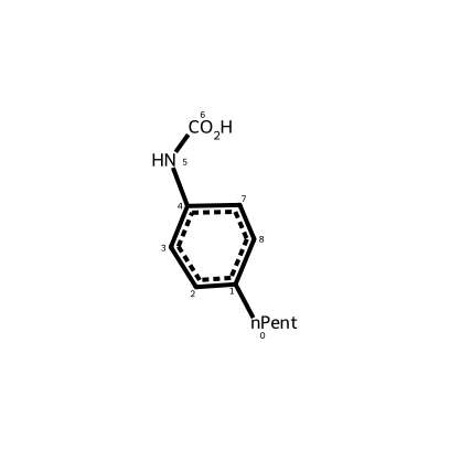 CCCCCc1ccc(NC(=O)O)cc1